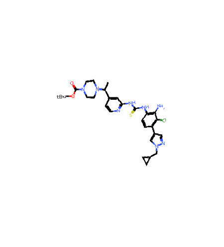 CC(c1ccnc(NC(=S)Nc2ccc(-c3cnn(CC4CC4)c3)c(Cl)c2N)c1)N1CCN(C(=O)OC(C)(C)C)CC1